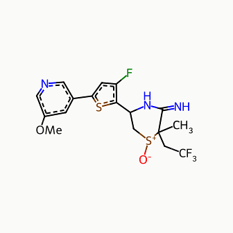 COc1cncc(-c2cc(F)c(C3C[S+]([O-])C(C)(CC(F)(F)F)C(=N)N3)s2)c1